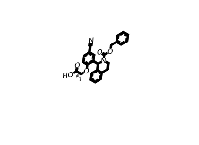 C[C@@H](Oc1ccc(C#N)cc1C1c2ccccc2CCN1C(=O)OCc1ccccc1)C(=O)O